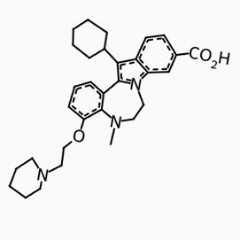 CN1CCn2c(c(C3CCCCC3)c3ccc(C(=O)O)cc32)-c2cccc(OCCN3CCCCC3)c21